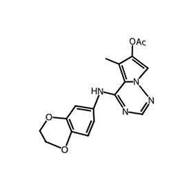 CC(=O)Oc1cn2ncnc(Nc3ccc4c(c3)OCCO4)c2c1C